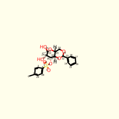 Cc1ccc(S(=O)(=O)O[C@H]2[C@@H]3OC(c4ccccc4)OC[C@H]3O[C@](C)(O)[C@H]2O)cc1